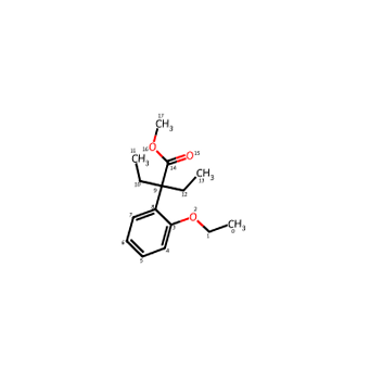 CCOc1ccccc1C(CC)(CC)C(=O)OC